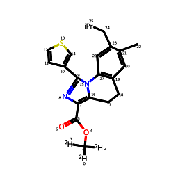 [2H]C([2H])([2H])OC(=O)c1nc(-c2ccsc2)n2c1CCc1cc(C)c(CC(C)C)cc1-2